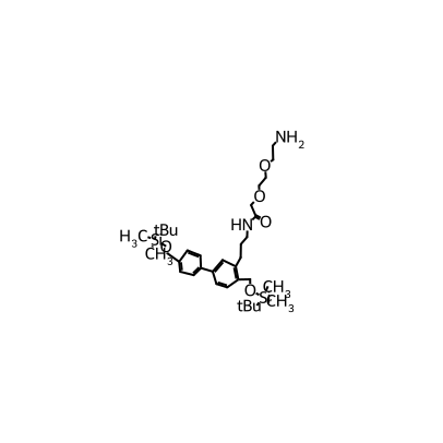 CC(C)(C)[Si](C)(C)OCc1ccc(-c2ccc(CO[Si](C)(C)C(C)(C)C)c(CCCNC(=O)COCCOCCN)c2)cc1